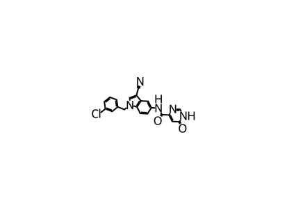 N#Cc1cn(Cc2cccc(Cl)c2)c2ccc(NC(=O)c3cc(=O)[nH]cn3)cc12